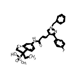 CCC(CC)(c1ccc(NC(=O)C=Cc2cn(Cc3ccccc3)nc2-c2ccc(F)cc2)cc1)P(=O)(O)O